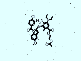 CCN(CC)c1cc(C(=O)OCCOC(C)=O)c(C)c(Br)c1N.COc1ccc2c(c1)cc(C)n2C(=O)c1ccc(Cl)cc1